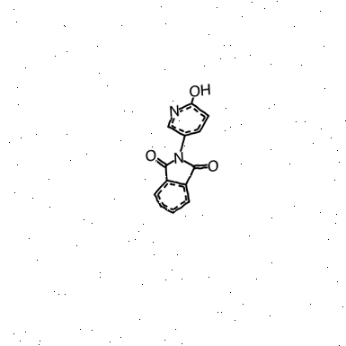 O=C1c2ccccc2C(=O)N1c1ccc(O)nc1